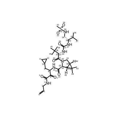 C=CCNC(=O)C(=O)C(CC1CC1)NC(=O)[C@@H]1[C@@H]2[C@H](CN1C(=O)[C@@H](NC(=O)N[C@H](CNS(C)(=O)=O)C(C)C)C(C)(C)C)C2(C)C